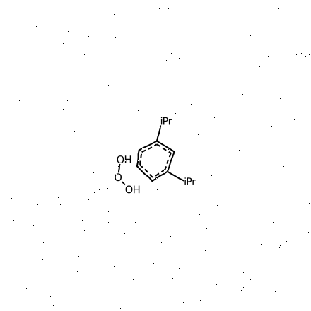 CC(C)c1cccc(C(C)C)c1.OOO